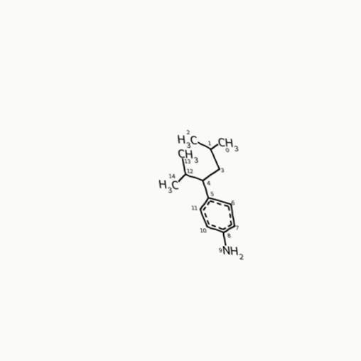 CC(C)CC(c1ccc(N)cc1)C(C)C